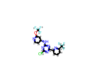 FC(F)(F)Oc1cc(Nc2nc(Cl)nc(-c3cccc(C(F)(F)F)n3)n2)ccn1